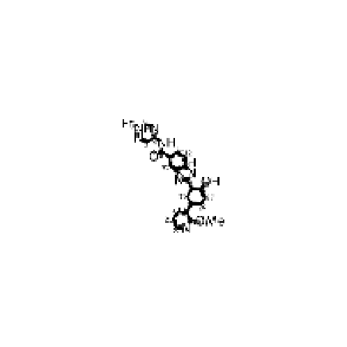 CCN/N=C\C(=N/C)NC(=O)c1ccc2[nH]c(C3CC(c4cccnc4OC)=CC=C3O)nc2c1